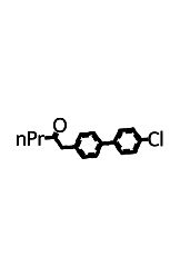 CCCC(=O)Cc1ccc(-c2ccc(Cl)cc2)cc1